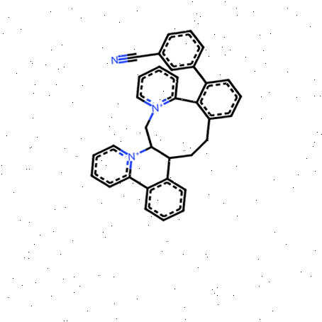 N#Cc1cccc(-c2cccc3c2-c2cccc[n+]2CC2C(CC3)c3ccccc3-c3cccc[n+]32)c1